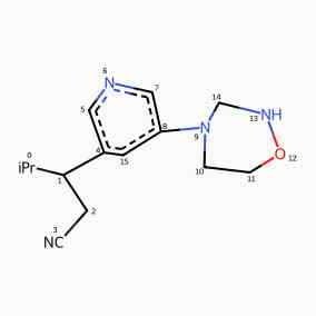 CC(C)C(CC#N)c1cncc(N2CCONC2)c1